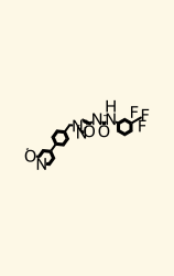 COc1cc(-c2ccc(C[n+]3cc([N-]C(=O)Nc4cccc(C(F)(F)F)c4)on3)cc2)ccn1